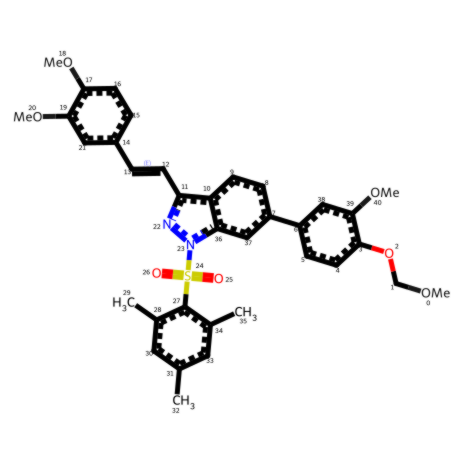 COCOc1ccc(-c2ccc3c(/C=C/c4ccc(OC)c(OC)c4)nn(S(=O)(=O)c4c(C)cc(C)cc4C)c3c2)cc1OC